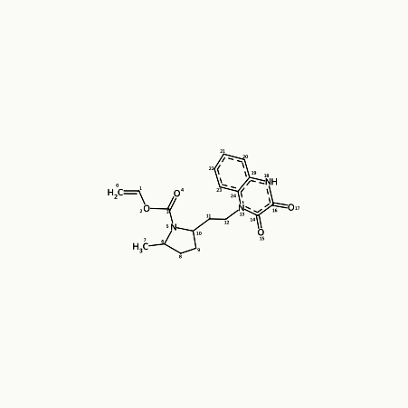 C=COC(=O)N1C(C)CCC1CCn1c(=O)c(=O)[nH]c2ccccc21